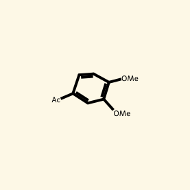 [CH2]C(=O)c1ccc(OC)c(OC)c1